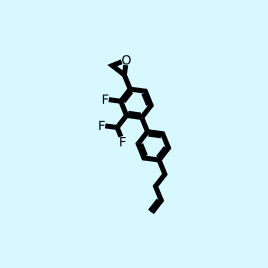 C=CCCc1ccc(-c2ccc(C3CO3)c(F)c2C(F)F)cc1